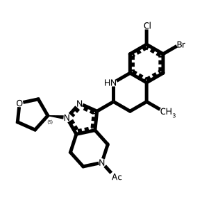 CC(=O)N1CCc2c(c(C3CC(C)c4cc(Br)c(Cl)cc4N3)nn2[C@H]2CCOC2)C1